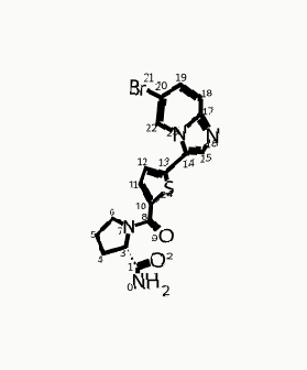 NC(=O)[C@@H]1CCCN1C(=O)c1ccc(-c2cnc3ccc(Br)cn23)s1